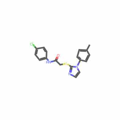 Cc1ccc(-n2ccnc2SCC(=O)Nc2ccc(Cl)cc2)cc1